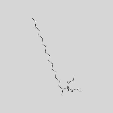 CCCCCCCCCCCCCCCCCC(C)[SiH](OCC)OCC